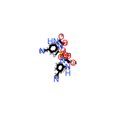 CCP(=O)(On1c(=O)c(=O)[nH]c2cc(C#N)ccc21)On1c(=O)c(=O)[nH]c2cc(C#N)ccc21